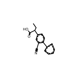 CCC(C(=O)O)c1ccc(-c2ccccc2)c(C#N)c1